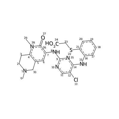 CN1CCc2c(cc(Nc3ncc(Cl)c(Nc4ccccc4SCC(=O)O)n3)c(=O)n2C)C1